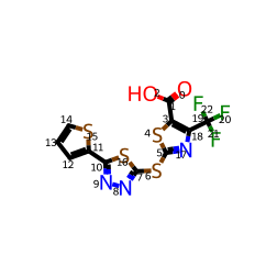 O=C(O)c1sc(Sc2nnc(-c3cccs3)s2)nc1C(F)(F)F